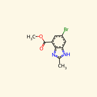 COC(=O)c1cc(Br)cc2[nH]c(C)nc12